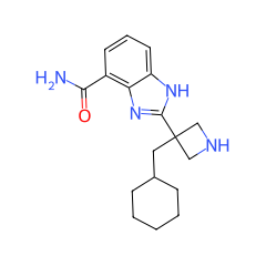 NC(=O)c1cccc2[nH]c(C3(CC4CCCCC4)CNC3)nc12